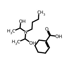 CCCCN(C(C)O)C(C)O.O=C(O)C1=CCCCC1